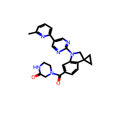 Cc1cccc(-c2cnc(N3CC4(CC4)c4ccc(C(=O)N5CCNC(=O)C5)cc43)nc2)n1